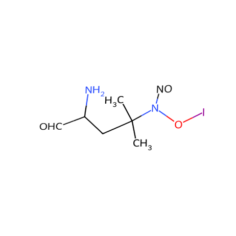 CC(C)(CC(N)C=O)N(N=O)OI